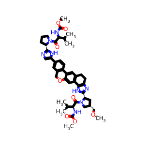 COC[C@H]1C[C@@H](c2nc3c([nH]2)-c2cc4c(cc2CC3)-c2ccc(-c3cnc([C@@H]5CCCN5C(=O)C(NC(=O)OC)C(C)C)[nH]3)cc2CO4)N(C(=O)[C@@H](NC(=O)OC)C(C)C)C1